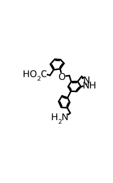 NCc1cccc(-c2cc(COc3ccccc3CC(=O)O)c3cn[nH]c3c2)c1